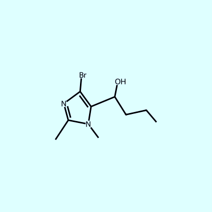 CCCC(O)c1c(Br)nc(C)n1C